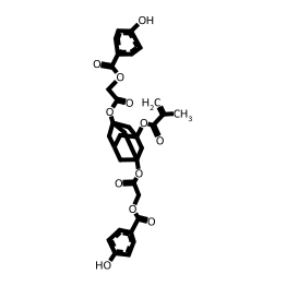 C=C(C)C(=O)OC12CC3CC(OC(=O)COC(=O)c4ccc(O)cc4)(CC(OC(=O)COC(=O)c4ccc(O)cc4)(C3)C1)C2